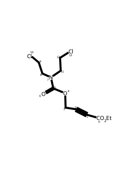 CCOC(=O)C#CCOC(=O)N(CCCl)CCCl